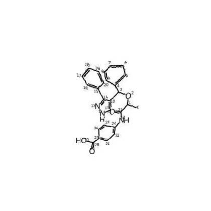 CC(OC(c1ccccc1)c1c[nH]nc1-c1ccccc1)C(=O)Nc1ccc(C(=O)O)cc1